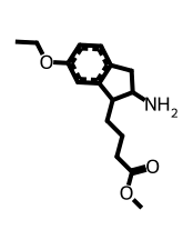 CCOc1ccc2c(c1)C(CCCC(=O)OC)C(N)C2